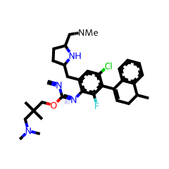 C=N/C(=N\c1c(CC2CCC(CNC)N2)cc(Cl)c(C2=CCC(C)c3ccccc32)c1F)OCC(C)(C)CN(C)C